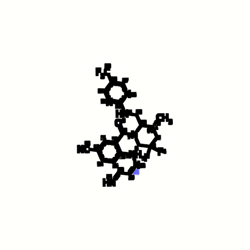 C[C@@H]1CC(F)(F)CN(C(=O)c2cc(C#N)ccc2N/N=C\C=N)C1CNc1ncc(C(F)(F)F)cn1